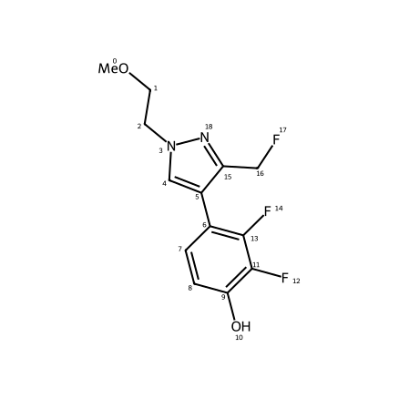 COCCn1cc(-c2ccc(O)c(F)c2F)c(CF)n1